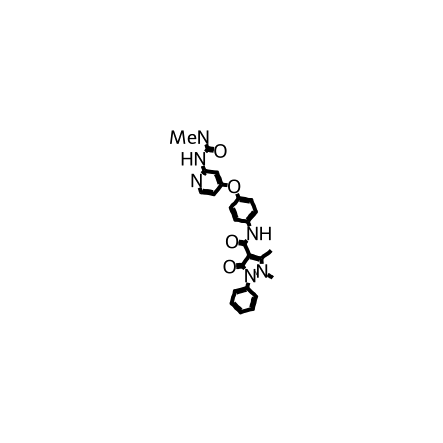 CNC(=O)Nc1cc(Oc2ccc(NC(=O)c3c(C)n(C)n(-c4ccccc4)c3=O)cc2)ccn1